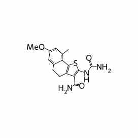 COc1cc(C)c2c(c1)CCc1c-2sc(NC(N)=O)c1C(N)=O